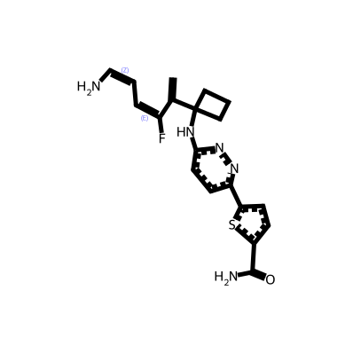 C=C(/C(F)=C\C=C/N)C1(Nc2ccc(-c3ccc(C(N)=O)s3)nn2)CCC1